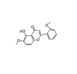 COc1ccccc1-c1cc(=O)c2c(O)c(OC)ccc2o1